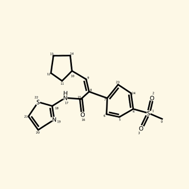 CS(=O)(=O)c1ccc(C(=CC2CCCC2)C(=O)Nc2nccs2)cc1